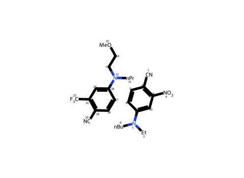 CCCCN(CC)c1ccc(C#N)c([N+](=O)[O-])c1.CCCN(CCOC)c1ccc(C#N)c(C(F)(F)F)c1